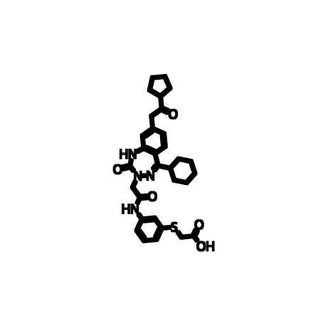 O=C(O)CSc1cccc(NC(=O)CN2N=C(C3CCCCC3)c3ccc(CC(=O)C4CCCC4)cc3NC2=O)c1